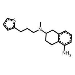 CN(CCCc1cccs1)C1CCc2c(N)cccc2C1